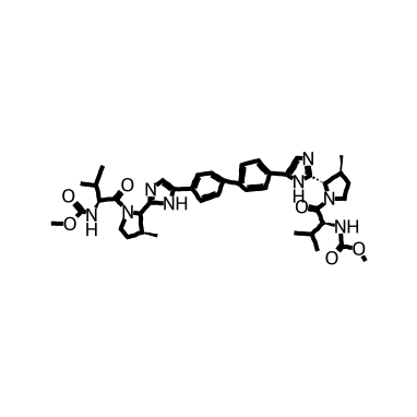 COC(=O)N[C@H](C(=O)N1CC[C@H](C)C1c1ncc(-c2ccc(-c3ccc(-c4cnc([C@@H]5[C@@H](C)CCN5C(=O)[C@@H](NC(=O)OC)C(C)C)[nH]4)cc3)cc2)[nH]1)C(C)C